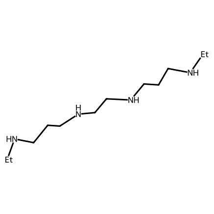 CCNCCCNCCNCCCNCC